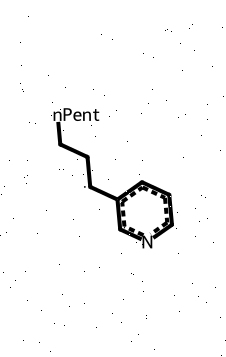 CCCCCCC[CH]c1cccnc1